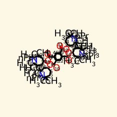 CCCN1C(C)(C)CCC(OC(=O)c2cc(C(=O)OC3CCC(C)(C)N(CCC)C(C)(C)C3)c(C(=O)OC3CCC(C)(C)N(CCC)C(C)(C)C3)cc2C(=O)OC2CCC(C)(C)N(CCC)C(C)(C)C2)CC1(C)C